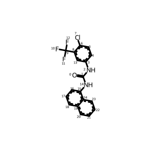 O=C(Nc1ccc(Cl)c(C(F)(F)F)c1)Nc1cccc2cc[c]cc12